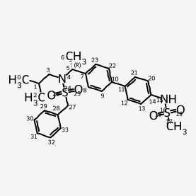 CC(C)CN([C@H](C)c1ccc(-c2ccc(NS(C)(=O)=O)cc2)cc1)S(=O)(=O)Cc1ccccc1